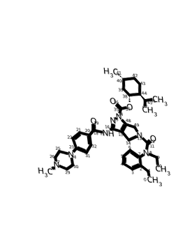 CCc1ccccc1N(CC)C(=O)N1Cc2c(NC(=O)c3ccc(N4CCN(C)CC4)cc3)nn(C(=O)O[C@@H]3C[C@H](C)CC[C@H]3C(C)C)c2C1